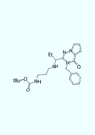 CCC(NCCCNC(=O)OC(C)(C)C)c1nn2cccc2c(=O)n1Cc1ccccc1